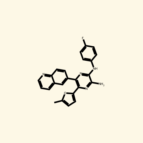 Cc1ccc(-c2nc(N)c(Nc3ccc(F)cc3)nc2-c2ccc3ncccc3c2)o1